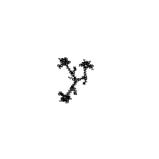 CCCCOCC(COCCCOP(OCCC#N)OCCCCCCO[C@@H]1OC(COC(C)=O)[C@H](OC(C)=O)C(OC(C)=O)C1NC(C)=O)(COCCCOP(OCCC#N)OCCCCCCO[C@@H]1OC(COC(C)=O)[C@H](OC(C)=O)C(OC(C)=O)[C@@H]1NC(C)=O)COCCCOP(OCCC#N)OCCCCCCO[C@@H]1OC(COC(C)=O)[C@H](OC(C)=O)C(OC(C)=O)[C@@H]1NC(C)=O